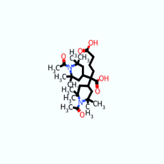 CC(=O)N1C(C)(C)CC(C(CCCC(=O)O)(C(=O)O)C2CC(C)(C)N(C(C)=O)C(C)(C)C2)CC1(C)C